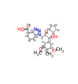 COc1cc(C(O)C(Cn2nnc3c(C(=O)O)cccc32)OC2CCCC2)cc(OC)c1C